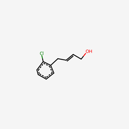 OC/C=C/Cc1ccccc1Cl